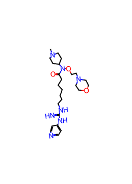 CN1CCC(N(OCCN2CCOCC2)C(=O)CCCCCCNC(=N)Nc2ccncc2)CC1